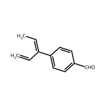 C=C/C(=C\C)c1ccc(C=O)cc1